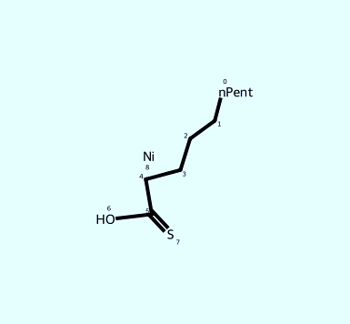 CCCCCCCCCC(O)=S.[Ni]